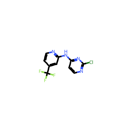 FC(F)(F)c1ccnc(Nc2ccnc(Cl)n2)c1